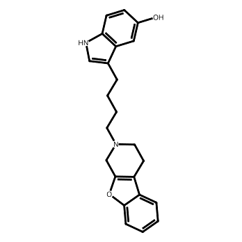 Oc1ccc2[nH]cc(CCCCN3CCc4c(oc5ccccc45)C3)c2c1